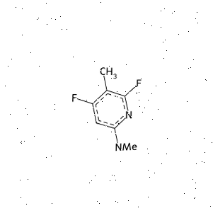 CNc1cc(F)c(C)c(F)n1